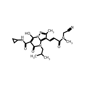 Cc1nn2c(O)c(C(=O)NC3CC3)c(=O)n(CC(C)C)c2c1C=CC(=O)N(C)CC#N